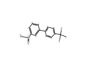 CC(F)(F)c1ccc(-c2cccc([N+](=O)[O-])c2)cc1